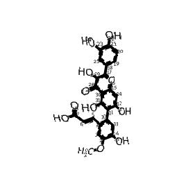 COc1cc(/C=C/C(=O)O)c(-c2c(O)cc3oc(-c4ccc(O)c(O)c4)c(O)c(=O)c3c2O)cc1O